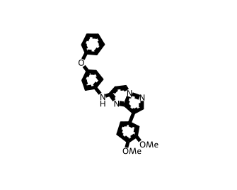 COc1ccc(-c2cnn3ccc(Nc4ccc(Oc5ccccc5)cc4)nc23)cc1OC